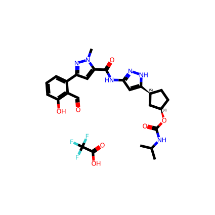 CC(C)NC(=O)O[C@@H]1CC[C@H](c2cc(NC(=O)c3cc(-c4cccc(O)c4C=O)nn3C)n[nH]2)C1.O=C(O)C(F)(F)F